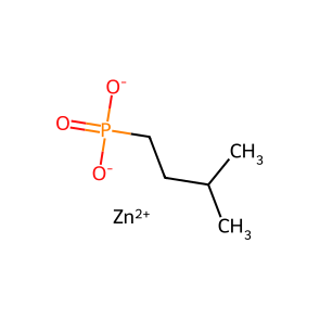 CC(C)CCP(=O)([O-])[O-].[Zn+2]